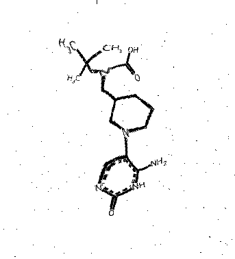 CC(C)(C)N(CC1CCCN(c2cnc(=O)[nH]c2N)C1)C(=O)O